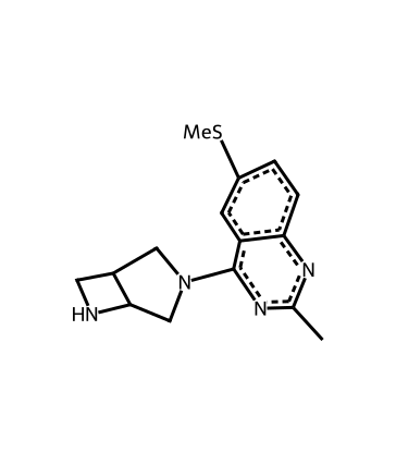 CSc1ccc2nc(C)nc(N3CC4CNC4C3)c2c1